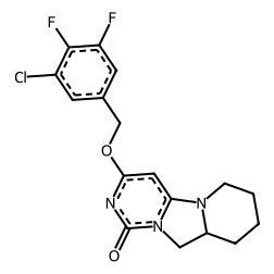 O=c1nc(OCc2cc(F)c(F)c(Cl)c2)cc2n1CC1CCCCN21